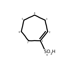 O=S(=O)(O)C1=CCCCCC1